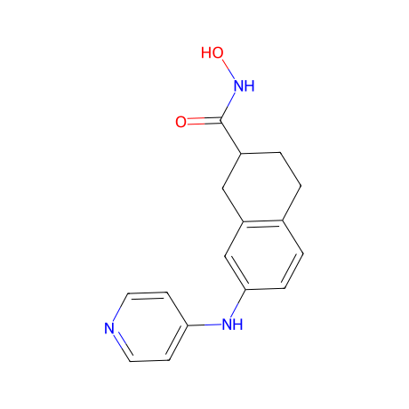 O=C(NO)C1CCc2ccc(Nc3ccncc3)cc2C1